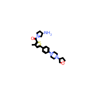 Cc1cc(-c2ccc(N3CCN(C4CCOC4)CC3)cc2)sc1C(=O)N1CC[C@H](N)C1